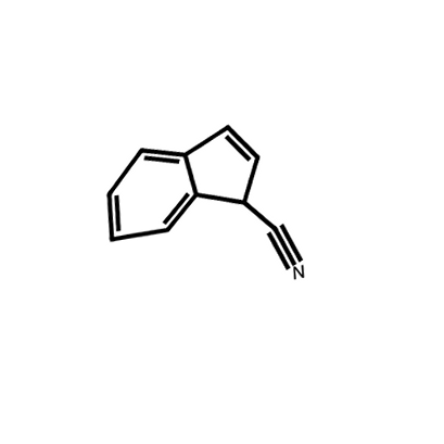 N#CC1C=Cc2ccccc21